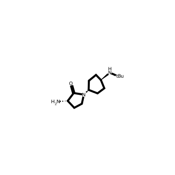 CC(C)(C)N[C@H]1CC[C@H](N2CC[C@H](N)C2=O)CC1